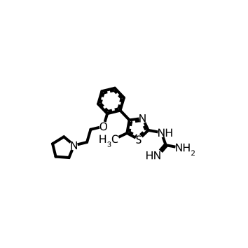 Cc1sc(NC(=N)N)nc1-c1ccccc1OCCN1CCCC1